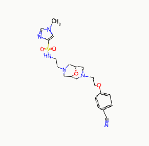 Cn1cnc(S(=O)(=O)NCCN2CC3CN(CCOc4ccc(C#N)cc4)CC(C2)O3)c1